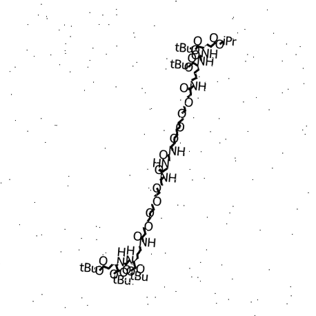 CC(C)OC(=O)CC[C@H](NC(=O)N[C@@H](CCCCNC(=O)CCOCCOCCOCCOCCNC(=O)CNCC(=O)NCCOCCOCCOCCOCCC(=O)NCCCC[C@H](NC(=O)N[C@@H](CCC(=O)OC(C)(C)C)C(=O)OC(C)(C)C)C(=O)OC(C)(C)C)C(=O)OC(C)(C)C)C(=O)OC(C)(C)C